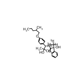 [2H]C([2H])([2H])[C@](O)(C(=O)N[C@H](c1ccc(OCC(C)CCC)cc1)C(C)(C)O)c1ccccc1